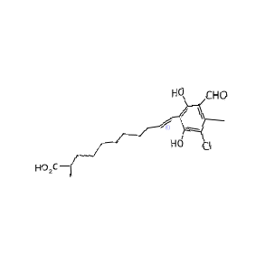 Cc1c(Cl)c(O)c(/C=C/CCCCCCCC(C)C(=O)O)c(O)c1C=O